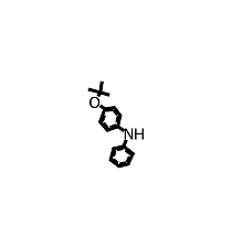 CC(C)(C)Oc1ccc(Nc2ccccc2)cc1